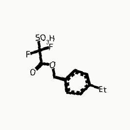 CCc1ccc(COC(=O)C(F)(F)S(=O)(=O)O)cc1